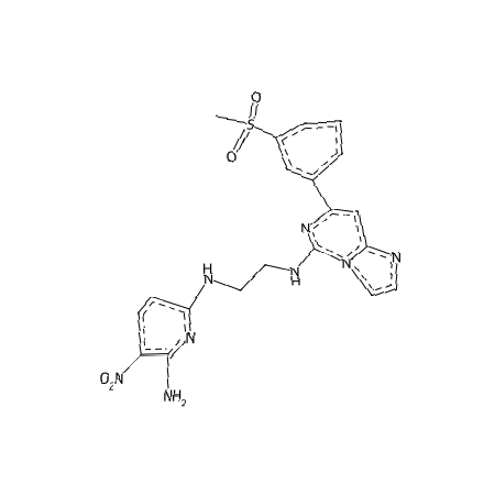 CS(=O)(=O)c1cccc(-c2cc3nccn3c(NCCNc3ccc([N+](=O)[O-])c(N)n3)n2)c1